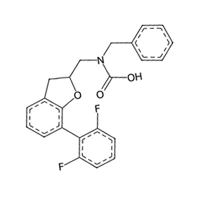 O=C(O)N(Cc1ccccc1)CC1Cc2cccc(-c3c(F)cccc3F)c2O1